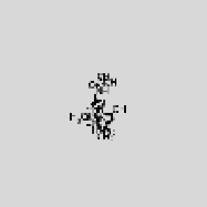 CNC(=O)[C@@H]1C[C@@H](O)CN1C(=O)[C@@H](n1cc(CNC(=O)N(C)C)nn1)C(C)(C)C